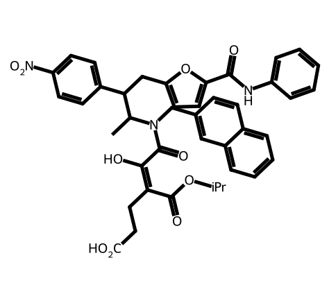 CC(C)OC(=O)C(CCC(=O)O)=C(O)C(=O)N(Cc1ccc2ccccc2c1)C(C)C(Cc1ccc(C(=O)Nc2ccccc2)o1)c1ccc([N+](=O)[O-])cc1